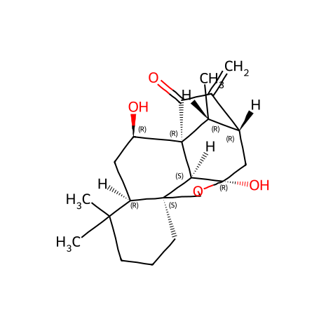 C=C1C(=O)[C@]23[C@H](O)C[C@@H]4C(C)(C)CCC[C@]45CO[C@](O)(C[C@@H]1[C@H]2C)[C@@H]53